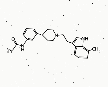 Cc1cccc2c(CCN3CCC(c4cccc(NC(=O)C(C)C)c4)CC3)c[nH]c12